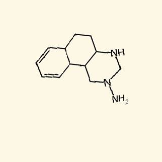 NN1CNC2CCC3C=CC=CC3C2C1